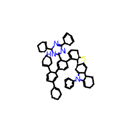 C1=CCC(C2=NC(C3=CCCCC3)NC(C3C=C(C4C=C(C5=CCCCC5)C=CC4C4=CCCCC4)C=CC3C3=CCCC4SC5=CC6C7CCCC=C7N(c7ccccc7)C6CC5C34)=N2)C=C1